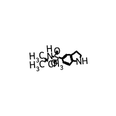 CC(C)(C)NS(=O)(=O)c1ccc2c(c1)CCN2